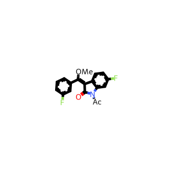 CO/C(=C1/C(=O)N(C(C)=O)c2cc(F)ccc21)c1cccc(F)c1